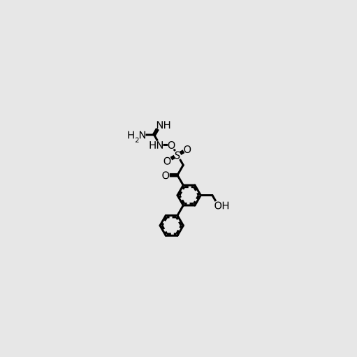 N=C(N)NOS(=O)(=O)CC(=O)c1cc(CO)cc(-c2ccccc2)c1